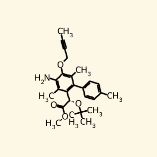 CC#CCOc1c(C)c(-c2ccc(C)cc2)c([C@H](OC(C)(C)C)C(=O)OC)c(C)c1N